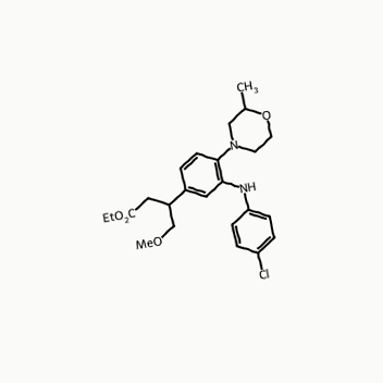 CCOC(=O)CC(COC)c1ccc(N2CCOC(C)C2)c(Nc2ccc(Cl)cc2)c1